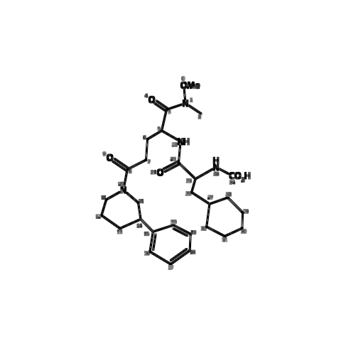 CON(C)C(=O)C(CCC(=O)N1CCCC(c2ccccc2)C1)NC(=O)C(CC1CCCCC1)NC(=O)O